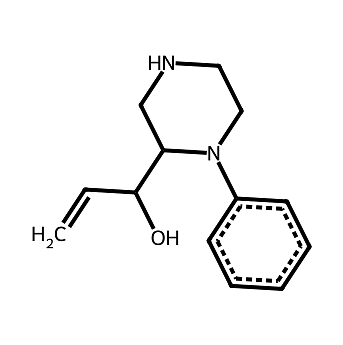 C=CC(O)C1CNCCN1c1ccccc1